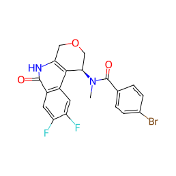 CN(C(=O)c1ccc(Br)cc1)[C@@H]1COCc2[nH]c(=O)c3cc(F)c(F)cc3c21